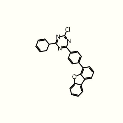 Clc1nc(-c2ccc(-c3cccc4c3oc3ccccc34)cc2)nc(C2C=CC=CC2)n1